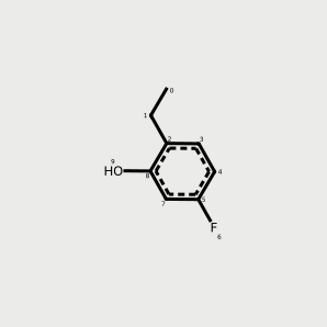 C[CH]c1ccc(F)cc1O